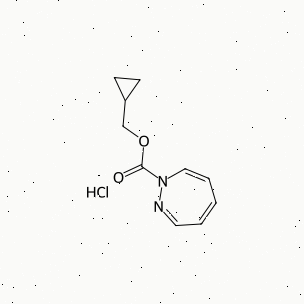 Cl.O=C(OCC1CC1)N1C=CC=CC=N1